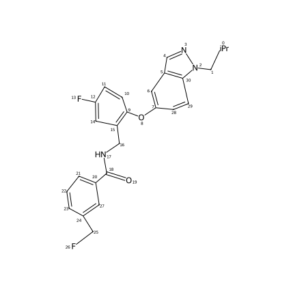 CC(C)Cn1ncc2cc(Oc3ccc(F)cc3CNC(=O)c3cccc(CF)c3)ccc21